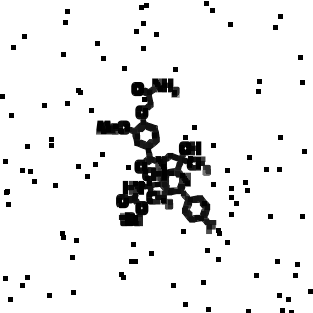 COc1cc(C(=O)NCC(O)(c2cc(C(C)(C)NC(=O)OC(C)(C)C)cc(-c3ccc(F)cc3)n2)C(F)(F)F)ccc1OCC(N)=O